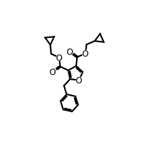 O=C(OCC1CC1)c1coc(Cc2ccccc2)c1C(=O)OCC1CC1